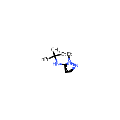 CCCC(C)(CC)Nc1ccnn1CC